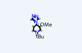 COC1CN(C(C)(C)C)CCC1n1cnnc1